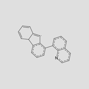 [C]1=C2C=CC=CC2c2cccc(-c3cccc4cccnc34)c21